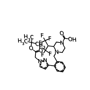 CC(C)(C)OC(=O)Cn1ccc(-c2ccccc2CN2CCN(C(=O)O)CC2C(C(F)(F)F)C(F)(F)F)n1